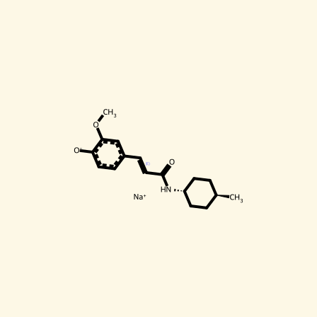 COc1cc(/C=C/C(=O)N[C@H]2CC[C@H](C)CC2)ccc1[O-].[Na+]